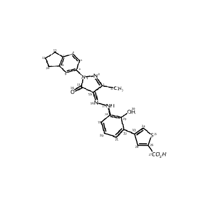 CC1=NN(c2ccc3c(c2)CCC3)C(=O)/C1=N/Nc1cccc(-c2csc(C(=O)O)c2)c1O